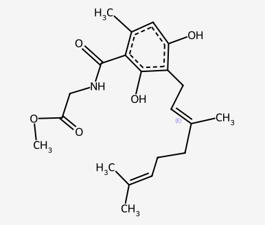 COC(=O)CNC(=O)c1c(C)cc(O)c(C/C=C(\C)CCC=C(C)C)c1O